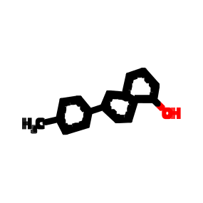 Cc1ccc(-c2ccc3c(O)cccc3c2)cc1